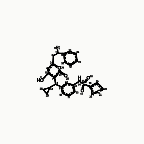 CCC(Cc1cc(O)c(C(c2cccc(NS(=O)(=O)n3cccn3)c2)C2CC2)c(=O)o1)c1ccccc1